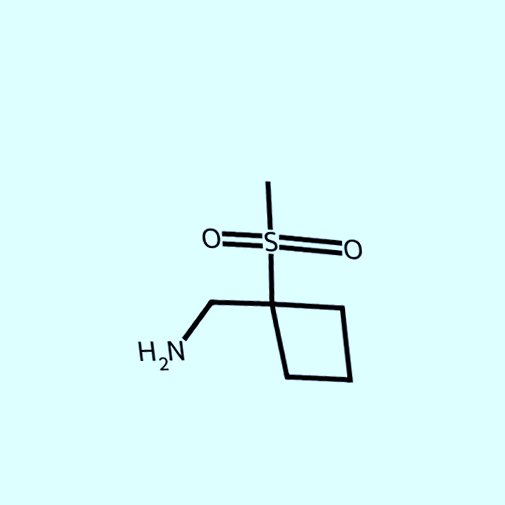 CS(=O)(=O)C1(CN)CCC1